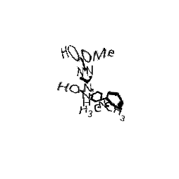 COC(O)c1ncc(N2C[C@]3(CC[C@](c4ccccc4)(N(C)C)CC3)NC2O)cn1